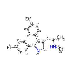 C=C(CC1=C(c2ccc(CC)cc2)C(c2ccc(CC)cc2)=NC1)NCC